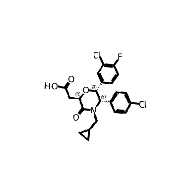 O=C(O)C[C@H]1O[C@H](c2ccc(F)c(Cl)c2)[C@H](c2ccc(Cl)cc2)N(CC2CC2)C1=O